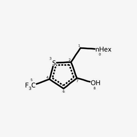 CCCCCCCc1sc(C(F)(F)F)cc1O